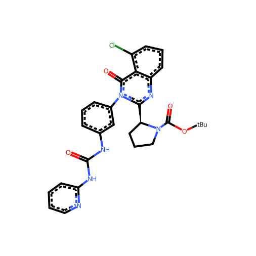 CC(C)(C)OC(=O)N1CCC[C@H]1c1nc2cccc(Cl)c2c(=O)n1-c1cccc(NC(=O)Nc2ccccn2)c1